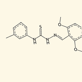 COc1cccc(OC)c1/C=N/NC(=S)Nc1cccc(C)c1